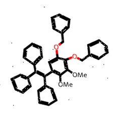 COc1c(C(=C(c2ccccc2)c2ccccc2)c2ccccc2)cc(OCc2ccccc2)c(OCc2ccccc2)c1OC